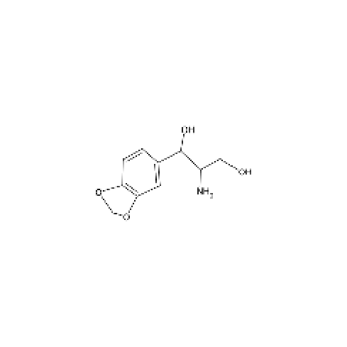 NC(CO)C(O)c1ccc2c(c1)OCO2